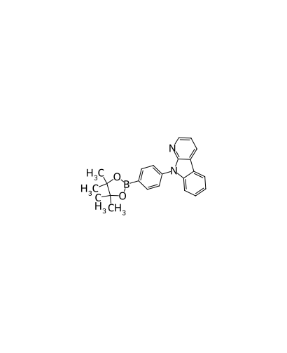 CC1(C)OB(c2ccc(-n3c4ccccc4c4cccnc43)cc2)OC1(C)C